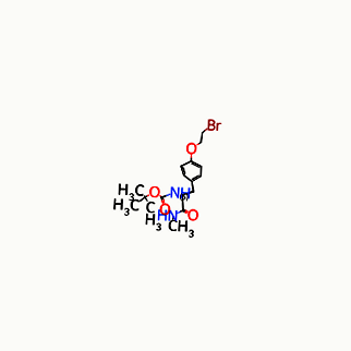 CNC(=O)[C@H](Cc1ccc(OCCBr)cc1)NC(=O)OC(C)(C)C